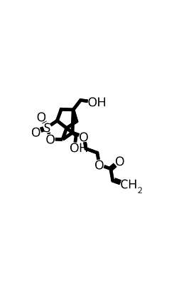 C=CC(=O)OCCOC1C2OS(=O)(=O)C3CC1(CO)CC23CO